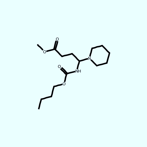 CCCCOC(=O)NC(CCC(=O)OC)N1CCCCC1